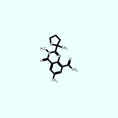 CC(=O)c1cc(C)cc2c(=O)n(C)c(C3(C)CCCO3)nc12